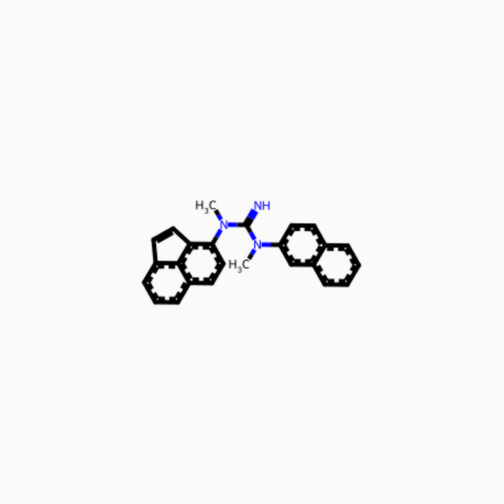 CN(C(=N)N(C)c1ccc2cccc3c2c1C=C3)c1ccc2ccccc2c1